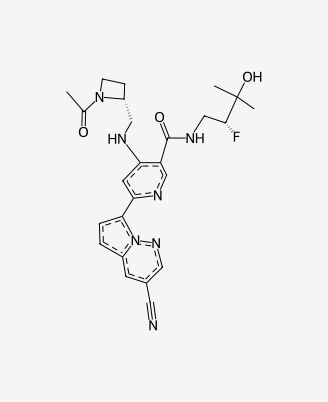 CC(=O)N1CC[C@@H]1CNc1cc(-c2ccc3cc(C#N)cnn23)ncc1C(=O)NC[C@@H](F)C(C)(C)O